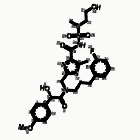 COc1ccc([C@@H](O)C(=O)N(CCCc2cccc(F)c2)Cc2nc(C(=O)NS(=O)(=O)N(C)CCO)c(C)s2)cc1